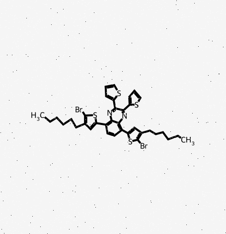 CCCCCCc1cc(-c2ccc(-c3cc(CCCCCC)c(Br)s3)c3nc(-c4cccs4)c(-c4cccs4)nc23)sc1Br